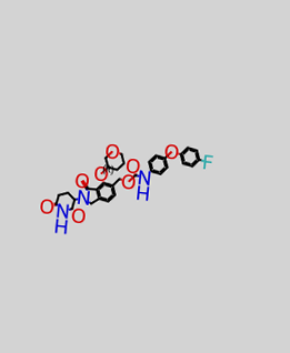 O=C1CCC(N2Cc3ccc(COC(=O)Nc4ccc(Oc5ccc(F)cc5)cc4)c(O[C@@H]4CCCOC4)c3C2=O)C(=O)N1